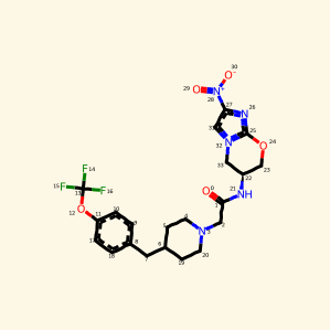 O=C(CN1CCC(Cc2ccc(OC(F)(F)F)cc2)CC1)N[C@@H]1COc2nc([N+](=O)[O-])cn2C1